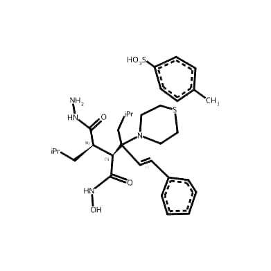 CC(C)C[C@@H](C(=O)NN)[C@H](C(=O)NO)C(/C=C/c1ccccc1)(CC(C)C)N1CCSCC1.Cc1ccc(S(=O)(=O)O)cc1